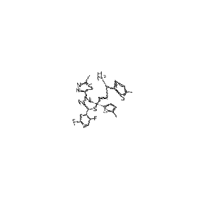 Cc1ccc(C(N)CCC2(c3ccc(C)s3)SC(c3cc(F)ccc3F)=NN2c2nnc(C)s2)s1